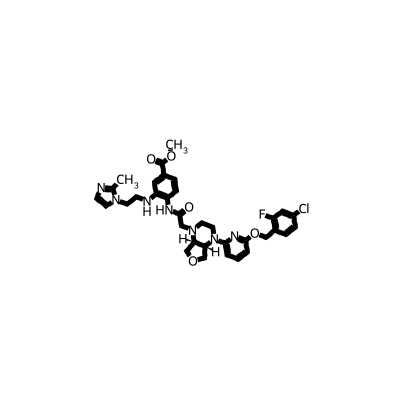 COC(=O)c1ccc(NC(=O)CN2CCN(c3cccc(OCc4ccc(Cl)cc4F)n3)[C@H]3COC[C@H]32)c(NCCn2ccnc2C)c1